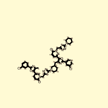 Cc1nc(-c2cccc(Cl)c2)oc1-c1ccc(=O)n(Cc2nnc(N3CCCC(Cc4nc(-c5cncc(Cl)c5)oc4-c4ccc(=O)n(Cc5nnc(N6CCCCC6)s5)n4)C3)s2)n1